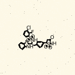 O=C1CC(c2ccc(C[C@H](NS(=O)(=O)c3cccc(Cl)c3F)c3nc4ccccc4[nH]3)cc2)S(=O)(=O)N1